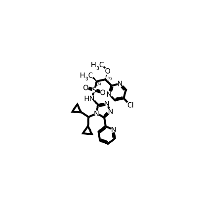 CO[C@H](c1ncc(Cl)cn1)[C@H](C)S(=O)(=O)Nc1nnc(-c2ccccn2)n1C(C1CC1)C1CC1